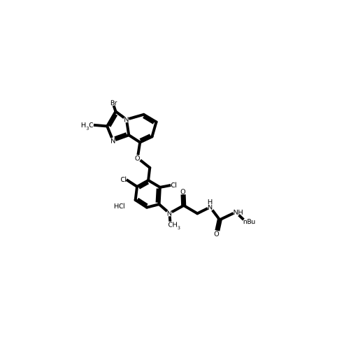 CCCCNC(=O)NCC(=O)N(C)c1ccc(Cl)c(COc2cccn3c(Br)c(C)nc23)c1Cl.Cl